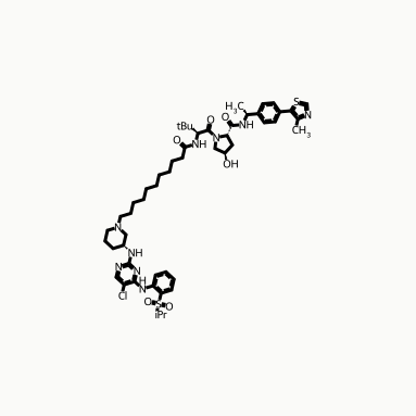 Cc1ncsc1-c1ccc([C@H](C)NC(=O)[C@@H]2C[C@@H](O)CN2C(=O)[C@@H](NC(=O)CCCCCCCCCCN2CCC[C@@H](Nc3ncc(Cl)c(Nc4ccccc4S(=O)(=O)C(C)C)n3)C2)C(C)(C)C)cc1